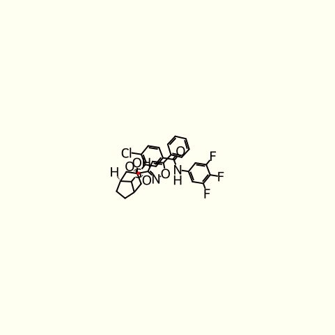 O=C(Nc1cc(F)c(F)c(F)c1)c1ccc(Cl)c(S(=O)(=O)C2C3CC[C@H]2CC(O)(c2cc(-c4ccccc4)on2)C3)c1